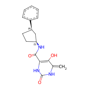 C=C1NC(=O)NC(C(=O)N[C@H]2CC[C@@H](c3ccccc3)C2)=C1O